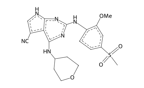 COc1cc(S(C)(=O)=O)ccc1Nc1nc(NC2CCOCC2)c2c(C#N)c[nH]c2n1